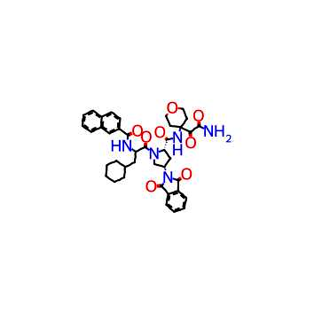 NC(=O)C(=O)C1(NC(=O)[C@@H]2C[C@H](N3C(=O)c4ccccc4C3=O)CN2C(=O)C(CC2CCCCC2)NC(=O)c2ccc3ccccc3c2)CCOCC1